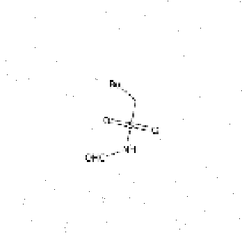 CCC(C)CS(=O)(=O)N[C]=O